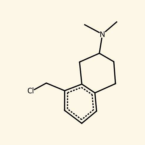 CN(C)C1CCc2cccc(CCl)c2C1